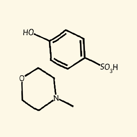 CN1CCOCC1.O=S(=O)(O)c1ccc(O)cc1